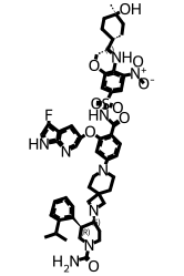 CC(C)c1ccccc1[C@@H]1CN(C(N)=O)CC[C@@H]1N1CC2(CCN(c3ccc(C(=O)NS(=O)(=O)c4cc5c(c([N+](=O)[O-])c4)N[C@@H]([C@H]4CC[C@](C)(O)CC4)CO5)c(Oc4cnc5[nH]cc(F)c5c4)c3)CC2)C1